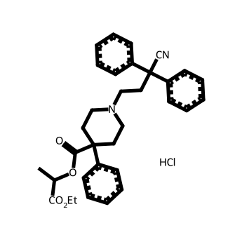 CCOC(=O)C(C)OC(=O)C1(c2ccccc2)CCN(CCC(C#N)(c2ccccc2)c2ccccc2)CC1.Cl